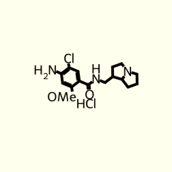 COc1cc(N)c(Cl)cc1C(=O)NCC1CCN2CCCC12.Cl